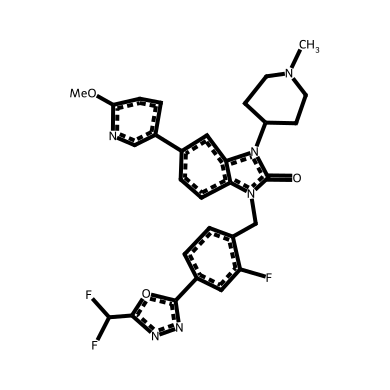 COc1ccc(-c2ccc3c(c2)n(C2CCN(C)CC2)c(=O)n3Cc2ccc(-c3nnc(C(F)F)o3)cc2F)cn1